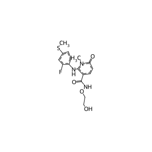 CSc1ccc(Nc2c(C(=O)NOCCO)ccc(=O)n2C)c(F)c1